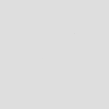 CCOC(COCC(OCC)OCC)OCC